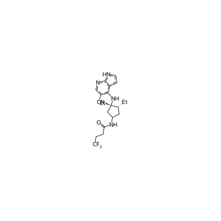 CC[C@@H]1CC(NC(=O)CCC(F)(F)F)C[C@]1(CC)Nc1c(C#N)cnc2[nH]ccc12